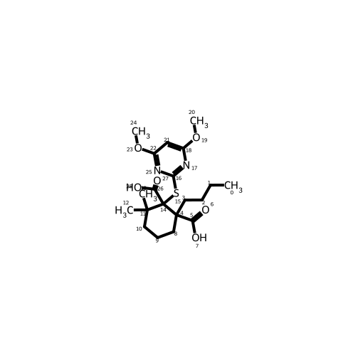 CCCCC1(C(=O)O)CCCC(C)(C)C1(Sc1nc(OC)cc(OC)n1)C(=O)O